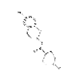 CC(=O)c1ccc2c(c1)CCN(CC(=O)N1CCN(C(C)C)CC1)C2